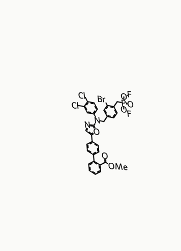 COC(=O)c1ccccc1-c1ccc(-c2cnc(N(Cc3ccc(CP(=O)(OF)OF)c(Br)c3)c3ccc(Cl)c(Cl)c3)o2)cc1